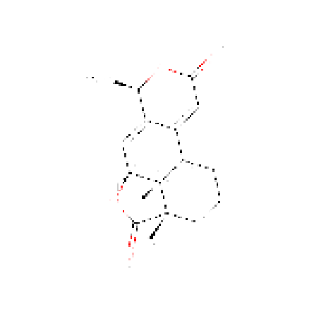 CO[C@H]1OC(=O)C=C2C1=C[C@H]1OC(=O)[C@@]3(C)CCC[C@@]2(C)[C@@H]13